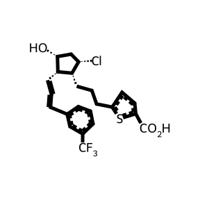 O=C(O)c1ccc(CCC[C@@H]2[C@H](C=C=Cc3cccc(C(F)(F)F)c3)[C@H](O)C[C@@H]2Cl)s1